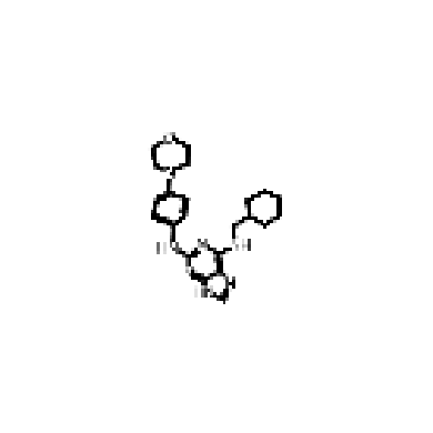 c1nc2c(NCC3CCCCC3)nc(Nc3ccc(N4CCOCC4)cc3)nc2[nH]1